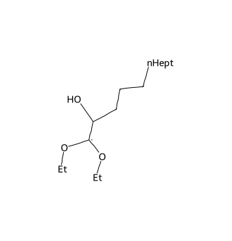 CCCCCCCCCCC(O)[C](OCC)OCC